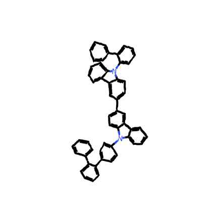 c1ccc(-c2ccccc2-c2ccc(-n3c4ccccc4c4cc(-c5ccc6c(c5)c5ccccc5n6-c5ccccc5-c5ccccc5)ccc43)cc2)cc1